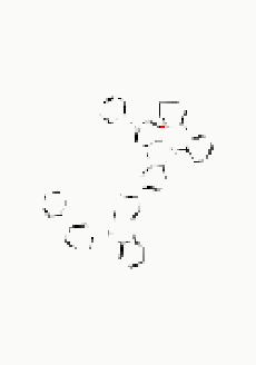 c1ccc(-c2cccc(-n3c4ccccc4c4cc(-c5ccc6c(c5)c5cc(-c7ccccc7)ccc5n6-c5ccccc5-c5ccccc5)ccc43)c2)cc1